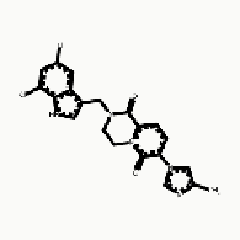 Cc1cn(-c2ccc3n(c2=O)CCN(Cc2c[nH]c4c(Cl)cc(Cl)cc24)C3=O)cn1